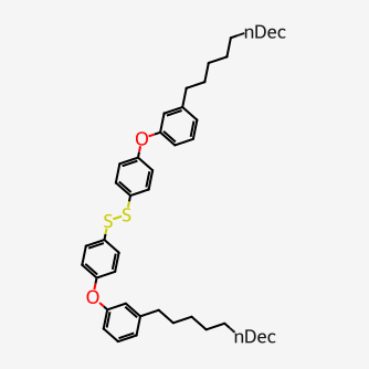 CCCCCCCCCCCCCCCc1cccc(Oc2ccc(SSc3ccc(Oc4cccc(CCCCCCCCCCCCCCC)c4)cc3)cc2)c1